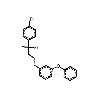 CCC(C)(CCCc1cccc(Oc2ccccc2)c1)c1ccc(C(C)C)cc1